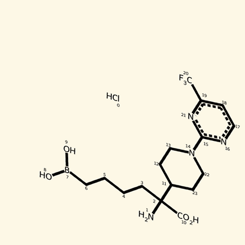 Cl.NC(CCCCB(O)O)(C(=O)O)C1CCN(c2nccc(C(F)(F)F)n2)CC1